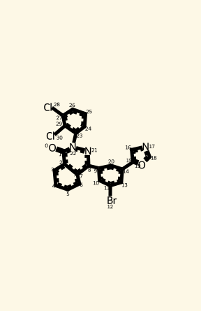 O=c1c2ccccc2c(-c2cc(Br)cc(-c3cnco3)c2)nn1-c1cccc(Cl)c1Cl